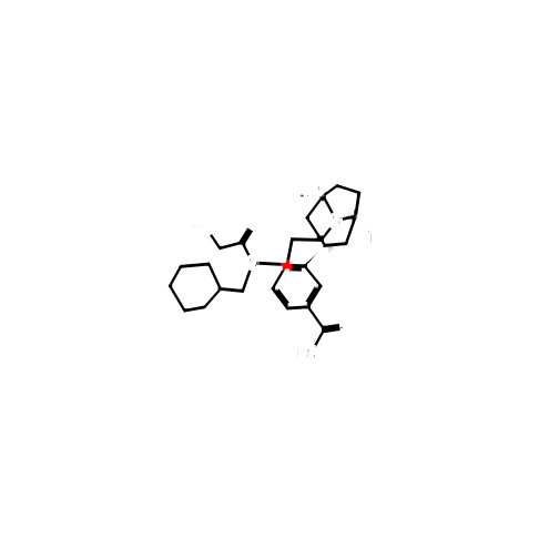 NC(=O)c1cccc([C@H]2C[C@H]3CC[C@@H](C2)N3CCCN(CC2CCCCC2)C(=O)CO)c1